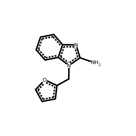 Nc1nc2ccccc2n1Cc1ccco1